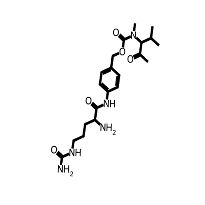 CC(=O)C(C(C)C)N(C)C(=O)OCc1ccc(NC(=O)C(N)CCCNC(N)=O)cc1